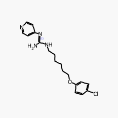 N/C(=N\c1ccncc1)NCCCCCCOc1ccc(Cl)cc1